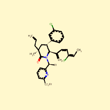 C=CC[C@@]1(C)C[C@H](c2cccc(Cl)c2)[C@@H](C(=C)/C=C\C(Cl)=C/C)N([C@@H](CC)c2cccc(C(=O)OCC)n2)C1=O